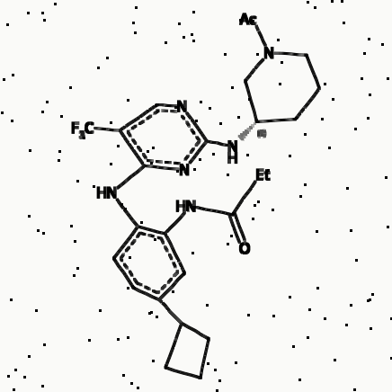 CCC(=O)Nc1cc(C2CCC2)ccc1Nc1nc(N[C@H]2CCCN(C(C)=O)C2)ncc1C(F)(F)F